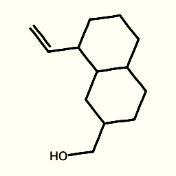 C=CC1CCCC2CCC(CO)CC12